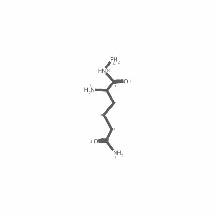 NC(=O)CCCC(N)C(=O)NP